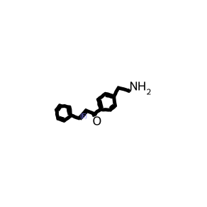 NCCc1ccc(C(=O)/C=C/c2ccccc2)cc1